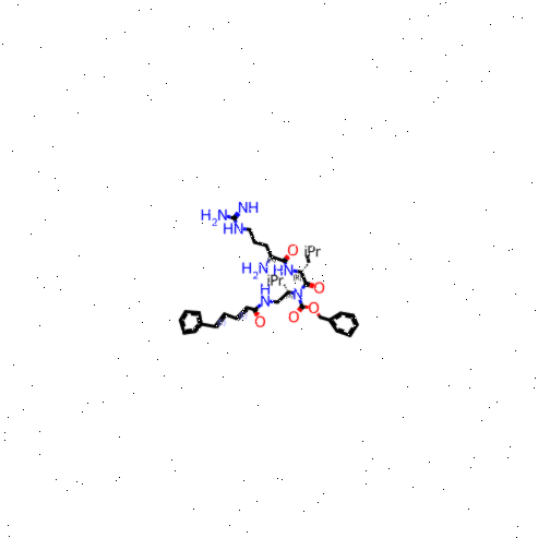 CC(C)C[C@@H](NC(=O)[C@H](N)CCCNC(=N)N)C(=O)N(C(=O)OCc1ccccc1)[C@H](CNC(=O)/C=C/C=C/c1ccccc1)C(C)C